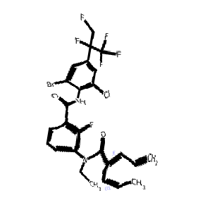 C=C/C=C(\C=C/C)C(=O)N(CC)c1cccc(C(=O)Nc2c(Cl)cc(C(F)(CF)C(F)(F)F)cc2Br)c1F